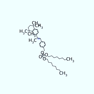 CCCCCCCCOP(=O)(OCCCCCCCC)OCc1ccc(/C=C(\C)c2ccc3c(c2)C(C)(C)CCC3(C)C)cc1